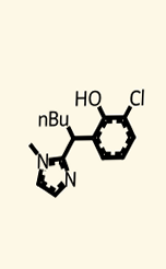 CCCCC(c1cccc(Cl)c1O)c1nccn1C